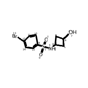 O=S(=O)(NC1CC(O)C1)c1ccc(Br)cc1